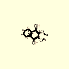 COc1c(O)c2c(c(O)c1OC)C1CCC2CC1